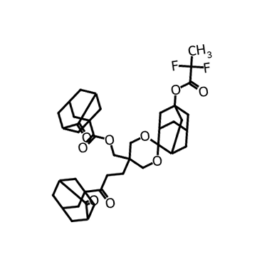 CC(F)(F)C(=O)OC12CC3CC(C1)C1(OCC(CCC(=O)C45CC6CC(C4)C(=O)C(C6)C5)(COC(=O)C45CC6CC(C4)C(=O)C(C6)C5)CO1)C(C3)C2